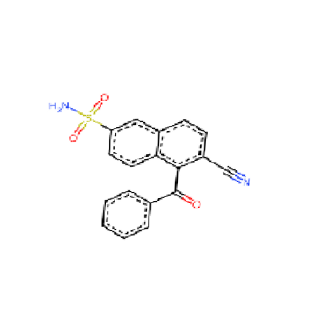 N#Cc1ccc2cc(S(N)(=O)=O)ccc2c1C(=O)c1ccccc1